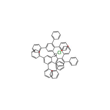 Cl[Si](c1cc(-c2ccccc2)cc(-c2ccccc2)c1-c1ccccc1)(c1cc(-c2ccccc2)cc(-c2ccccc2)c1-c1ccccc1)c1cc(-c2ccccc2)cc(-c2ccccc2)c1-c1ccccc1